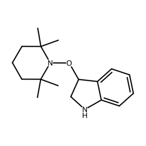 CC1(C)CCCC(C)(C)N1OC1CNc2ccccc21